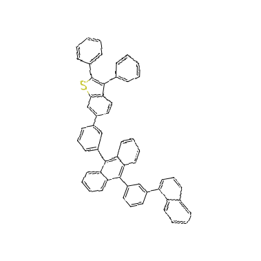 c1ccc(-c2sc3cc(-c4cccc(-c5c6ccccc6c(-c6cccc(-c7cccc8ccccc78)c6)c6ccccc56)c4)ccc3c2-c2ccccc2)cc1